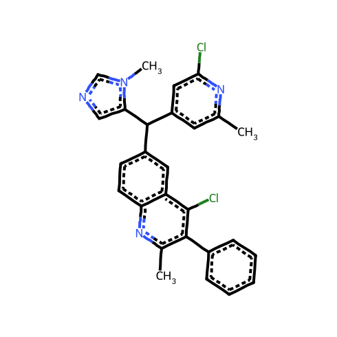 Cc1cc(C(c2ccc3nc(C)c(-c4ccccc4)c(Cl)c3c2)c2cncn2C)cc(Cl)n1